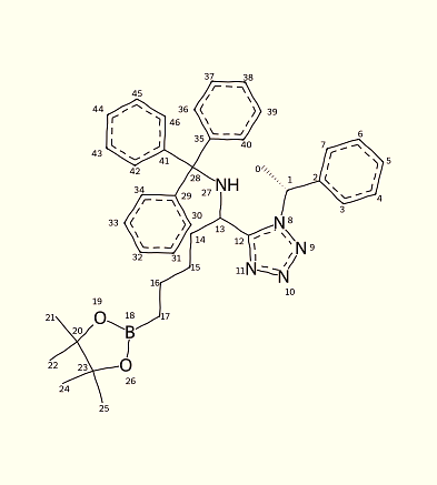 C[C@H](c1ccccc1)n1nnnc1C(CCCCB1OC(C)(C)C(C)(C)O1)NC(c1ccccc1)(c1ccccc1)c1ccccc1